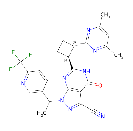 Cc1cc(C)nc([C@H]2CC[C@@H]2c2nc3c(c(C#N)nn3C(C)c3ccc(C(F)(F)F)nc3)c(=O)[nH]2)n1